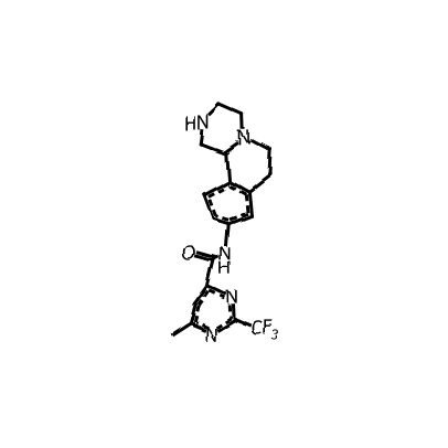 Cc1cc(C(=O)Nc2ccc3c(c2)CCN2CCNCC32)nc(C(F)(F)F)n1